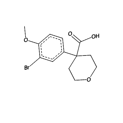 COc1ccc(C2(C(=O)O)CCOCC2)cc1Br